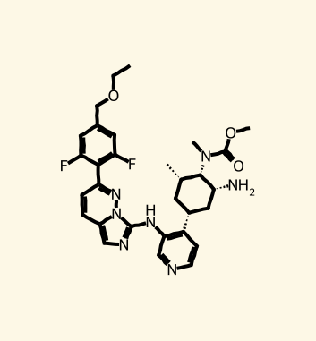 CCOCc1cc(F)c(-c2ccc3cnc(Nc4cnccc4[C@H]4C[C@@H](N)[C@@H](N(C)C(=O)OC)[C@@H](C)C4)n3n2)c(F)c1